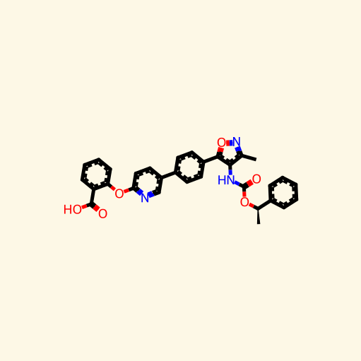 Cc1noc(-c2ccc(-c3ccc(Oc4ccccc4C(=O)O)nc3)cc2)c1NC(=O)O[C@H](C)c1ccccc1